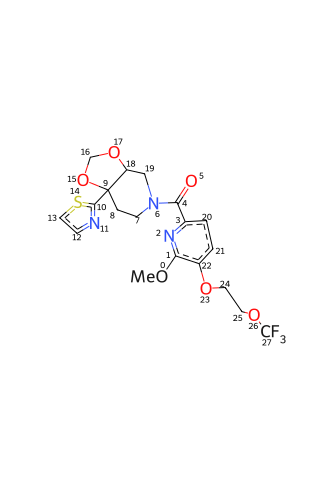 COc1nc(C(=O)N2CCC3(c4nccs4)OCOC3C2)ccc1OCCOC(F)(F)F